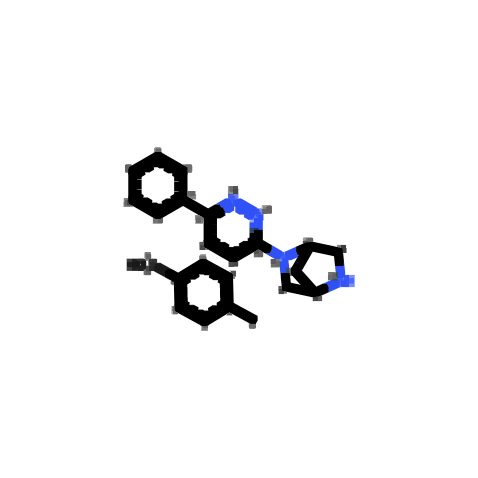 Cc1ccc(S(=O)(=O)O)cc1.c1ccc(-c2ccc(N3CC4CC3CN4)nn2)cc1